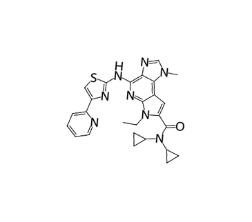 CCn1c(C(=O)N(C2CC2)C2CC2)cc2c3c(ncn3C)c(Nc3nc(-c4ccccn4)cs3)nc21